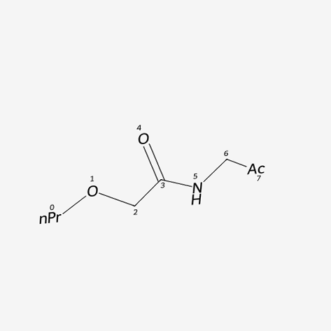 CCCOCC(=O)NCC(C)=O